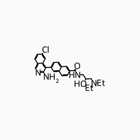 CCN(CC)CC(O)CNC(=O)c1ccc2cc(-c3c(N)ncc4ccc(Cl)cc34)ccc2c1